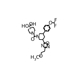 COCCc1noc(C2CC(c3ccc(OC(F)F)cc3)CN(C(=O)N3CCS(O)(O)CC3)C2)n1